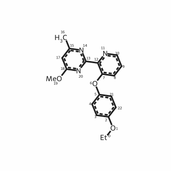 CCOc1ccc(Oc2cccnc2-c2nc(C)cc(OC)n2)cc1